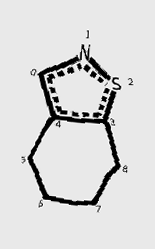 c1nsc2c1CCCC2